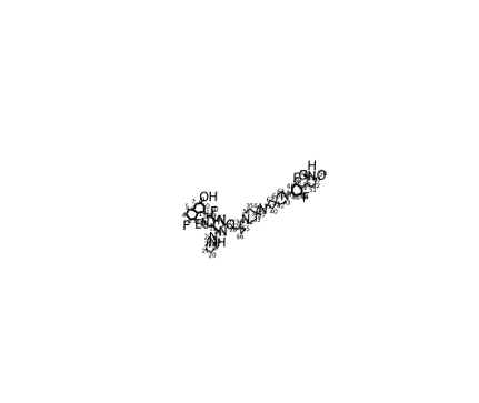 CCc1c(F)ccc2cc(O)cc(-c3ncc4c(N5CC6CCC(C5)N6)nc(OCC5(CN6CCC7(CC6)CN(C6CC8(CCN(c9cc(F)c(C%10CCC(=O)NC%10=O)c(F)c9)CC8)C6)C7)CC5)nc4c3F)c12